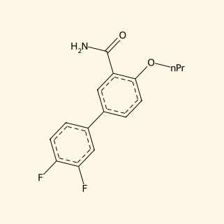 CCCOc1ccc(-c2ccc(F)c(F)c2)cc1C(N)=O